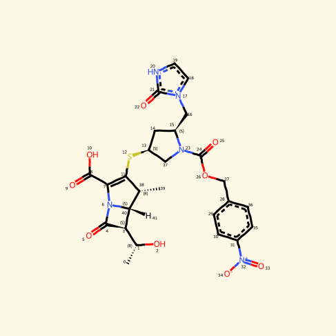 C[C@@H](O)[C@H]1C(=O)N2C(C(=O)O)=C(S[C@H]3C[C@@H](Cn4cc[nH]c4=O)N(C(=O)OCc4ccc([N+](=O)[O-])cc4)C3)[C@H](C)[C@H]12